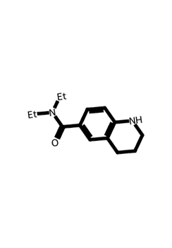 CCN(CC)C(=O)c1ccc2c(c1)CCCN2